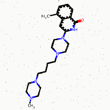 Cc1cccc2c(=O)[nH]c(N3CCN(CCCCN4CCN(C)CC4)CC3)cc12